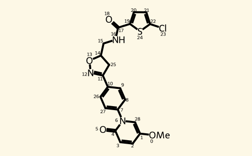 COc1ccc(=O)n(-c2ccc(C3=NOC(CNC(=O)c4ccc(Cl)s4)C3)cc2)c1